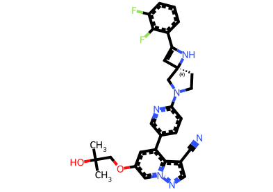 CC(C)(O)COc1cc(-c2ccc(N3CC[C@@]4(C=C(c5cccc(F)c5F)N4)C3)nc2)c2c(C#N)cnn2c1